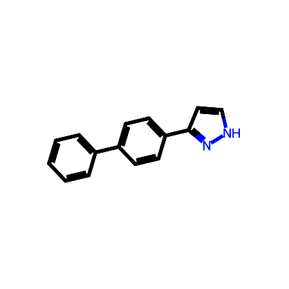 c1ccc(-c2ccc(-c3cc[nH]n3)cc2)cc1